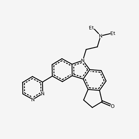 CCN(CC)CCn1c2ccc(-c3cccnn3)cc2c2c3c(ccc21)C(=O)CC3